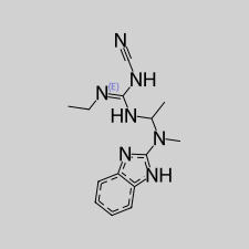 CC/N=C(/NC#N)NC(C)N(C)c1nc2ccccc2[nH]1